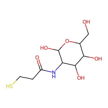 O=C(CCS)NC1C(O)OC(CO)C(O)C1O